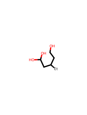 CCC(CCO)CC(O)O